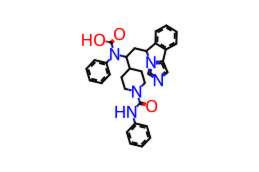 O=C(Nc1ccccc1)N1CCC(C(CC2c3ccccc3-c3cncn32)N(C(=O)O)c2ccccc2)CC1